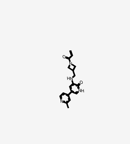 C=CC(=O)N1CC(CNc2cc(-c3ccnc(C)c3)c[nH]c2=O)C1